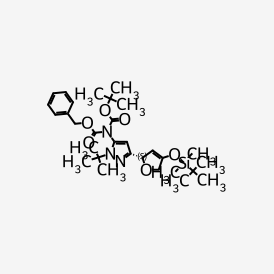 CC(C)(C)OC(=O)N(C(=O)OCc1ccccc1)c1cc([C@@H]2C=C(O[Si](C)(C)C(C)(C)C)CO2)nn1C(C)(C)C